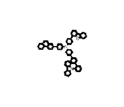 c1ccc(-n2c3ccccc3c3ccccc32)c(-c2ccc(-c3ccc(N(c4ccc(-c5ccc6c(ccc7ccccc76)c5)cc4)c4ccc(-c5cccc6c5oc5ccccc56)cc4)cc3)cc2)c1